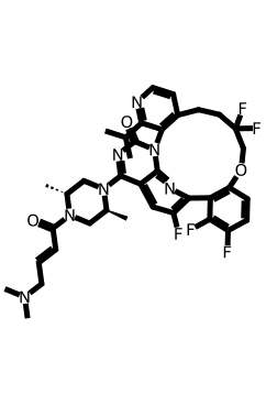 CC(C)c1nccc2c1-n1c(=O)nc(N3C[C@@H](C)N(C(=O)/C=C/CN(C)C)C[C@@H]3C)c3cc(F)c(nc31)-c1c(ccc(F)c1F)OCC(F)(F)CC2